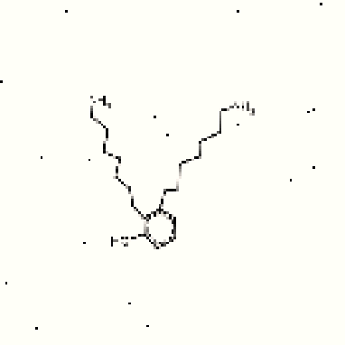 NCCCCCCCc1cccc(O)c1CCCCCCCN